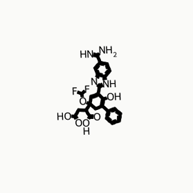 N=C(N)c1ccc2[nH]c(C3=CC(OC(F)F)(C(CC(=O)O)C(=O)O)CC(c4ccccc4)=C3O)nc2c1